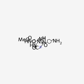 COC(=O)Nc1ccc2c(c1)NC(=O)CC/C=C/C[C@H](NC(=O)C1CCC(CN)CC1)c1nc-2c[nH]1